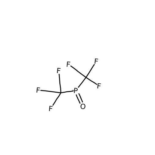 O=[P](C(F)(F)F)C(F)(F)F